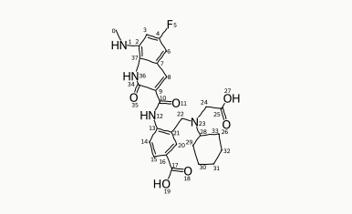 CNc1cc(F)cc2cc(C(=O)Nc3ccc(C(=O)O)cc3CN(CC(=O)O)C3CCCCC3)c(=O)[nH]c12